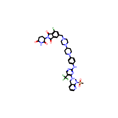 CN(c1ncccc1CNc1nc(Nc2ccc(N3CCC(N4CCN(Cc5cc(F)c6c(c5)C(=O)N(C5CCC(=O)NC5=O)C6=O)CC4)CC3)cc2)ncc1C(F)(F)F)S(C)(=O)=O